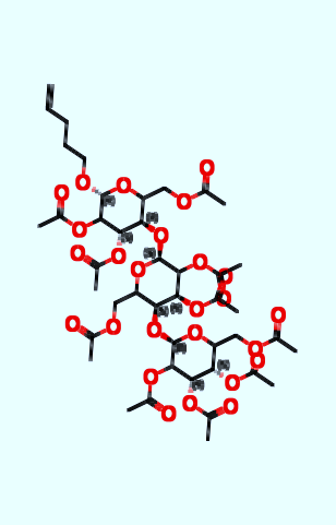 C=CCCCO[C@@H]1OC(COC(C)=O)[C@@H](O[C@@H]2OC(COC(C)=O)[C@H](O[C@H]3OC(COC(C)=O)[C@H](OC(C)=O)[C@H](OC(C)=O)C3OC(C)=O)[C@H](OC(C)=O)C2OC(C)=O)[C@H](OC(C)=O)C1OC(C)=O